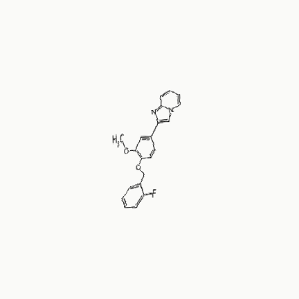 COc1cc(-c2cn3ccccc3n2)ccc1OCc1ccccc1F